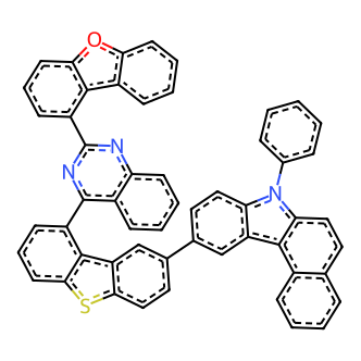 c1ccc(-n2c3ccc(-c4ccc5sc6cccc(-c7nc(-c8cccc9oc%10ccccc%10c89)nc8ccccc78)c6c5c4)cc3c3c4ccccc4ccc32)cc1